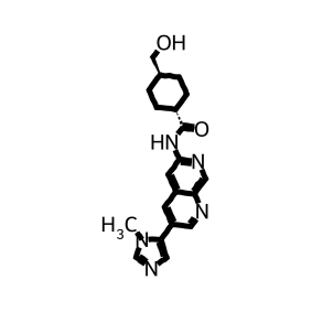 Cn1cncc1-c1cnc2cnc(NC(=O)[C@H]3CC[C@H](CO)CC3)cc2c1